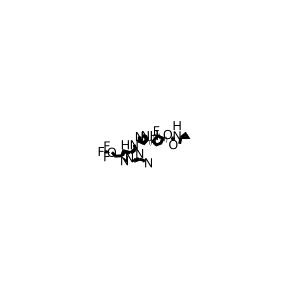 CC1(NC(=O)O[C@@H]2CC[C@H](c3cc(Nc4nc(C#N)cn5nc(COC(F)(F)F)cc45)n[nH]3)[C@@H]2F)CC1